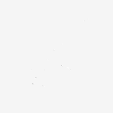 CCCCCCCCCCCCc1ccc(S(=O)(=O)[O-])cc1.[AsH3].[K+]